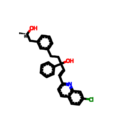 C[C@H](O)Cc1cccc(CCC(O)(C=Cc2ccc3ccc(Cl)cc3n2)c2ccccc2)c1